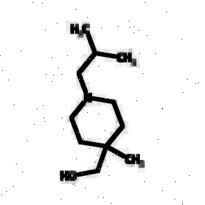 CC(C)CN1CCC(C)(CO)CC1